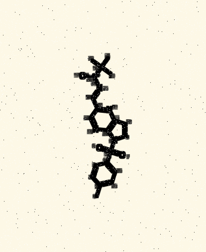 Cc1ccc(S(=O)(=O)n2ccc3nc(C=N[S@@+]([O-])C(C)(C)C)cnc32)cc1